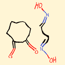 O=C1CCCCC1=O.ON=CC=NO